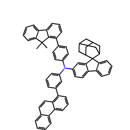 CC1(C)c2ccccc2-c2cccc(-c3ccc(N(c4cccc(-c5cccc6c5ccc5ccccc56)c4)c4ccc5c(c4)C4(c6ccccc6-5)C5CC6CC(C5)CC4C6)cc3)c21